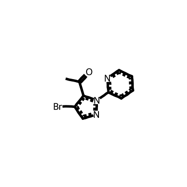 CC(=O)c1c(Br)cnn1-c1ccccn1